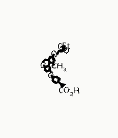 CCS(=O)(=O)CCCOc1cc(C)c2c(c1)CCOc1ccc(COc3ccc(C4CC4C(=O)O)cc3)cc1-2